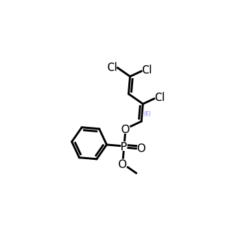 COP(=O)(O/C=C(/Cl)C=C(Cl)Cl)c1ccccc1